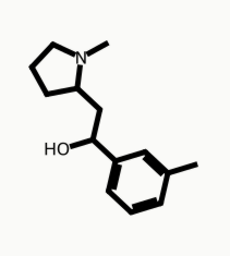 Cc1cccc(C(O)CC2CCCN2C)c1